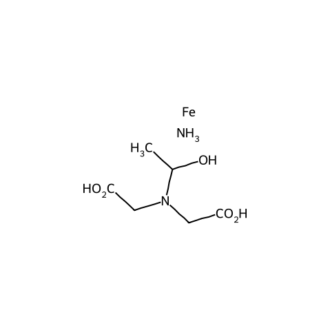 CC(O)N(CC(=O)O)CC(=O)O.N.[Fe]